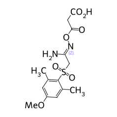 COc1cc(C)c(S(=O)(=O)C/C(N)=N/OC(=O)CC(=O)O)c(C)c1